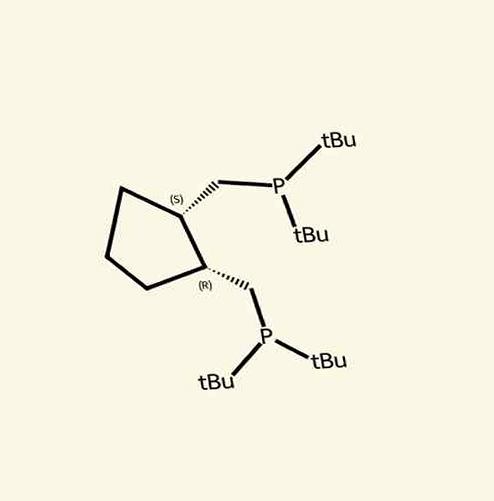 CC(C)(C)P(C[C@H]1CCC[C@H]1CP(C(C)(C)C)C(C)(C)C)C(C)(C)C